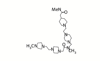 CNC(=O)CC1CCN(CCN2CCN(CN(C)C(=O)CN3CCN(CCN4CCN(C)CC4)CC3)CC2)CC1